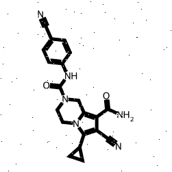 N#Cc1ccc(NC(=O)N2CCn3c(c(C(N)=O)c(C#N)c3C3CC3)C2)cc1